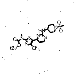 CN(C(=O)OC(C)(C)C)c1nc(C(F)(F)F)c(-c2ccnc(NC3CCN(S(C)(=O)=O)CC3)n2)s1